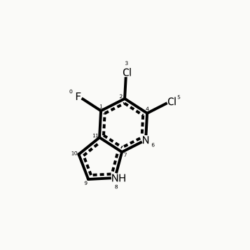 Fc1c(Cl)c(Cl)nc2[nH]ccc12